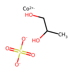 CC(O)CO.O=S(=O)([O-])[O-].[Co+2]